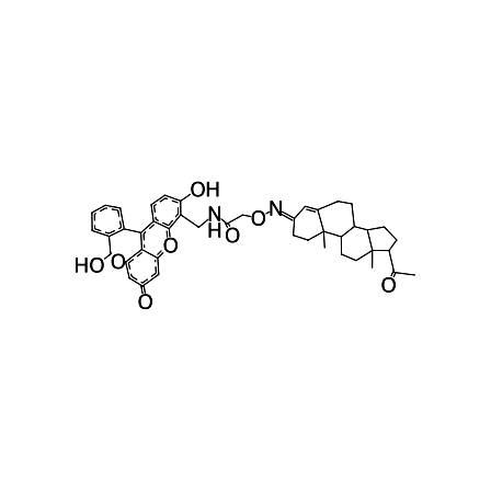 CC(=O)C1CCC2C3CCC4=C/C(=N/OCC(=O)NCc5c(O)ccc6c(-c7ccccc7C(=O)O)c7ccc(=O)cc-7oc56)CCC4(C)C3CCC12C